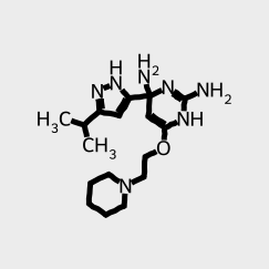 CC(C)c1cc(C2(N)C=C(OCCN3CCCCC3)NC(N)=N2)[nH]n1